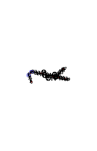 CCCCC/C=C\C/C=C\CCCCCCCC(=O)OCC(CO)CCCCC(=O)OC(CCCCCCCC)CCCCCCCC